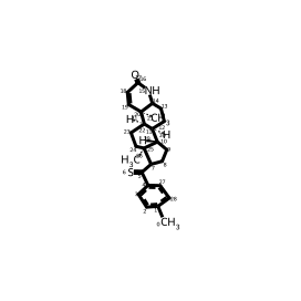 Cc1ccc(C(=S)C2CC[C@H]3[C@@H]4CCC5NC(=O)C=C[C@]5(C)[C@@H]4CC[C@]23C)cc1